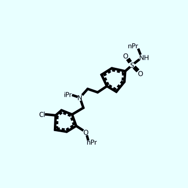 CCCNS(=O)(=O)c1ccc(CCN(Cc2cc(Cl)ccc2OCCC)C(C)C)cc1